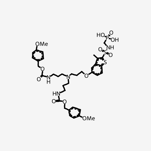 COc1ccc(COC(=O)NCCCN(CCCNC(=O)OCc2ccc(OC)cc2)CCCOc2ccc3sc(S(=O)(=O)NCP(=O)(O)O)c(C)c3c2)cc1